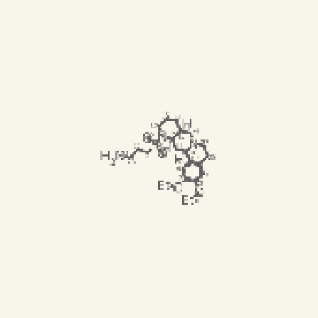 CCOc1cc2c(cc1OCC)[C@@H]1C[C@H]3[C@H](CCCN3S(=O)(=O)CCCN)CN1CC2